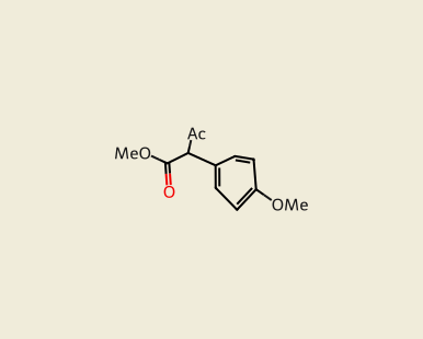 COC(=O)C(C(C)=O)c1ccc(OC)cc1